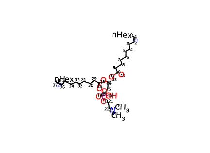 CCCCCC/C=C\CCCCCCCC(=O)OC[C@H](COP(=O)(O)OCCN(C)C)OC(=O)CCCCCCC/C=C\CCCCCC